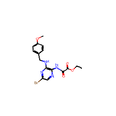 CCOC(=O)C(=O)Nc1ncc(Br)nc1NCc1ccc(OC)cc1